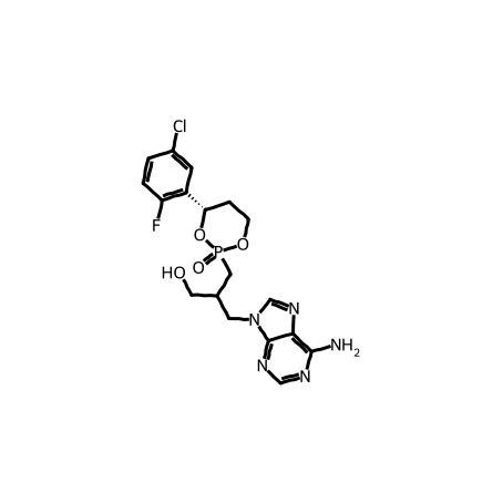 Nc1ncnc2c1ncn2CC(CO)CP1(=O)OCC[C@@H](c2cc(Cl)ccc2F)O1